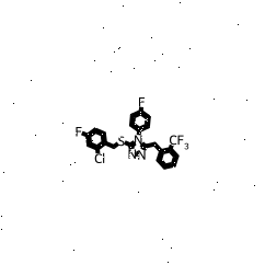 Fc1ccc(-n2c(Cc3ccccc3C(F)(F)F)nnc2SCc2ccc(F)cc2Cl)cc1